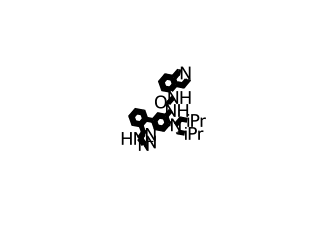 CC(C)CN(CC(C)C)c1ccc(-c2ccccc2-c2nnn[nH]2)cc1NC(=O)Nc1cccc2cnccc12